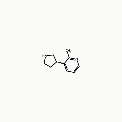 Cc1ncccc1[C@H]1CCNC1